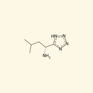 CC(C)C[C@@H](N)c1nnn[nH]1